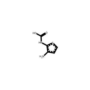 Nc1ccsc1NC(=O)O